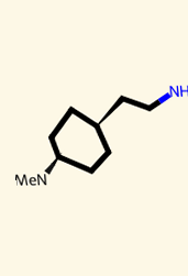 CN[C@H]1CC[C@@H](CCN)CC1